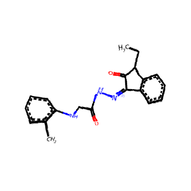 CCC1C(=O)/C(=N\NC(=O)CNc2ccccc2C)c2ccccc21